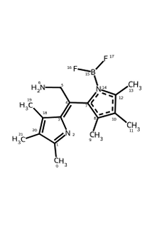 CC1=N/C(=C(/CN)c2c(C)c(C)c(C)n2B(F)F)C(C)=C1C